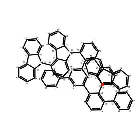 c1ccc(-c2nc(-c3cccc(-c4ccccc4)c3-n3c4ccccc4c4ccccc43)cc(-c3c(-c4ccccc4)cccc3-n3c4ccccc4c4c(-n5c6ccccc6c6ccccc65)cccc43)n2)cc1